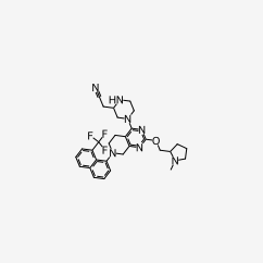 CN1CCCC1COc1nc2c(c(N3CCNC(CC#N)C3)n1)CCN(c1cccc3cccc(C(F)(F)F)c13)C2